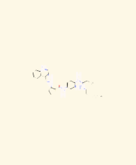 COCCN/C(=C\[N+](=O)[O-])Nc1ccc(NC(=O)c2sccc2NCc2ccnc3ccccc23)cc1